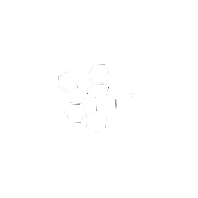 COC(=O)[C@H](C)N(C1CCCCC1)C(c1ccccc1)(c1ccccc1)c1ccccc1